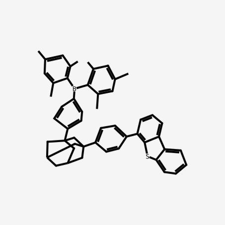 Cc1cc(C)c(B(c2ccc(C34CC5CC(C3)CC(c3ccc(-c6cccc7c6sc6ccccc67)cc3)(C5)C4)cc2)c2c(C)cc(C)cc2C)c(C)c1